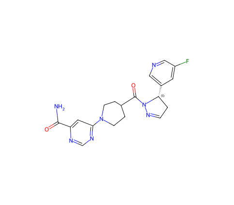 NC(=O)c1cc(N2CCC(C(=O)N3N=CC[C@H]3c3cncc(F)c3)CC2)ncn1